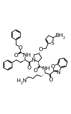 BC1CC=C(CO[C@@H]2C[C@@H](C(=O)N[C@@H](CCCCN)C(=O)c3nc4ccccc4o3)N(C(=O)[C@@H](CCc3ccccc3)NC(=O)OCc3ccccc3)C2)S1